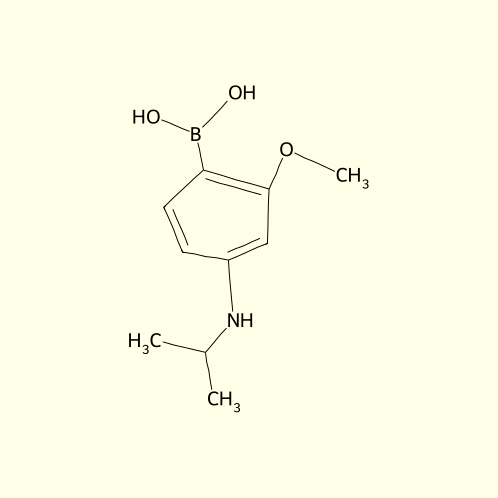 COc1cc(NC(C)C)ccc1B(O)O